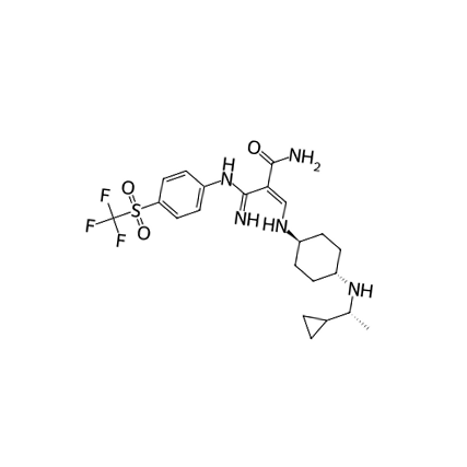 C[C@@H](N[C@H]1CC[C@H](N/C=C(\C(=N)Nc2ccc(S(=O)(=O)C(F)(F)F)cc2)C(N)=O)CC1)C1CC1